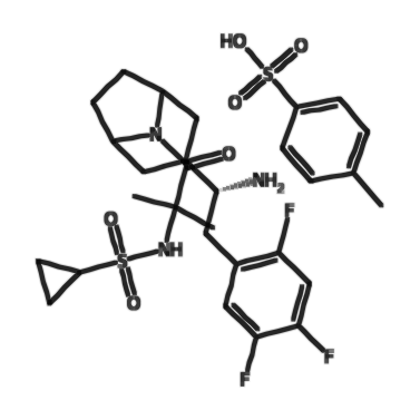 CC(C)(NS(=O)(=O)C1CC1)C(=O)N1C2CCC1CC([C@H](N)Cc1cc(F)c(F)cc1F)C2.Cc1ccc(S(=O)(=O)O)cc1